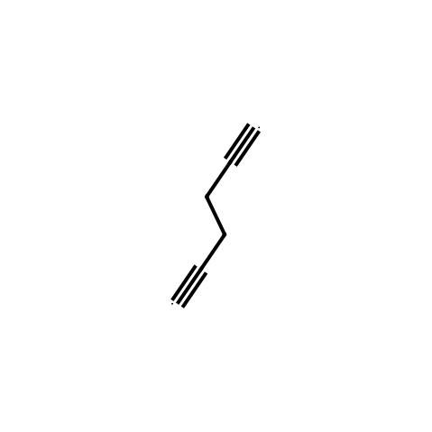 [C]#CCCC#[C]